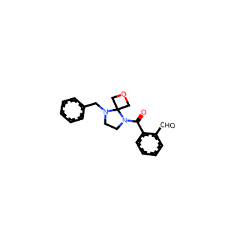 O=Cc1ccccc1C(=O)N1CCN(Cc2ccccc2)C12COC2